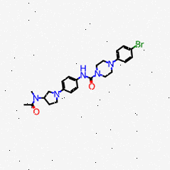 CC(=O)N(C)C1CCN(c2ccc(NC(=O)N3CCN(c4ccc(Br)cc4)CC3)cc2)C1